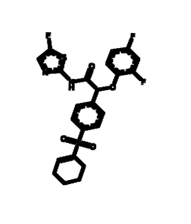 O=C(Nc1ncc(F)s1)C(Oc1ccc(F)cc1F)c1ccc(S(=O)(=O)C2=CCCCC2)cc1